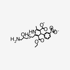 CCOC(=O)C1=C(CSCC(O)CN)NC(C)=C(C(=O)OC)C1c1cccc([N+](=O)[O-])c1